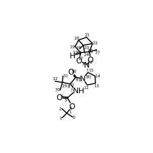 CC(C)(C)OC(=O)N[C@H](C(=O)N1CCC[C@H]1N1O[C@@H]2CC3CC(C3(C)C)[C@]2(C)O1)C(C)(C)C